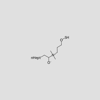 CCCCCCCCC([O-])[N+](C)(C)CCCOS